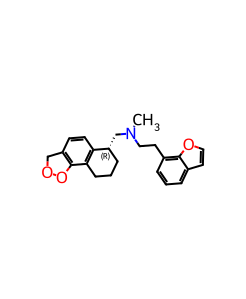 CN(CCc1cccc2ccoc12)C[C@@H]1CCCc2c1ccc1c2OOC1